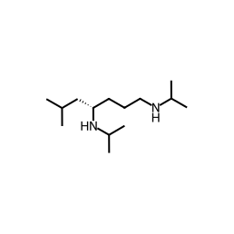 CC(C)C[C@H](CCCNC(C)C)NC(C)C